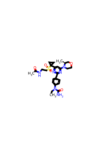 CCN(C(N)=O)c1ccc(-c2nc(N3CCOC[C@@H]3C)cc(C3(S(=O)(=O)CCNC(C)=O)CC3)n2)cc1